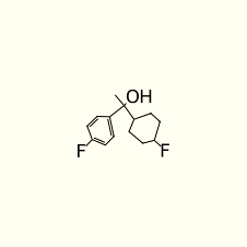 CC(O)(c1ccc(F)cc1)C1CCC(F)CC1